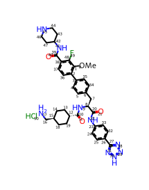 COc1c(-c2ccc(C[C@H](NC(=O)[C@H]3CC[C@H](CN)CC3)C(=O)Nc3ccc(-c4nn[nH]n4)cc3)cc2)ccc(C(=O)NC2CCNCC2)c1F.Cl